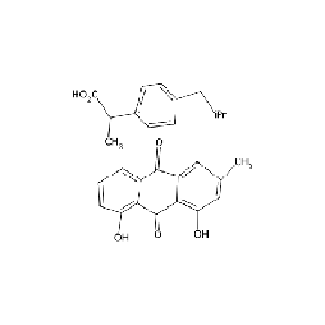 CC(C)Cc1ccc(C(C)C(=O)O)cc1.Cc1cc(O)c2c(c1)C(=O)c1cccc(O)c1C2=O